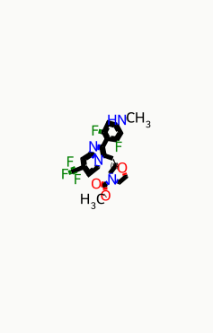 CNc1cc(F)c(-c2nc3cc(C(F)(F)F)ccn3c2C[C@H]2CN(C(=O)OC)CCO2)c(F)c1